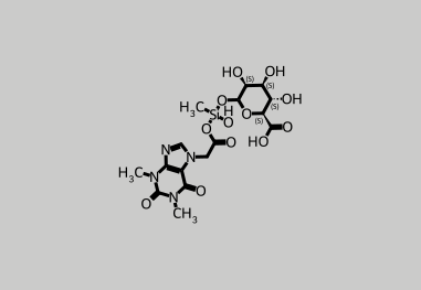 Cn1c(=O)c2c(ncn2CC(=O)O[Si](C)(O)OC2O[C@H](C(=O)O)[C@@H](O)[C@H](O)[C@@H]2O)n(C)c1=O